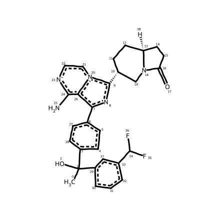 CC(O)(c1ccc(-c2nc([C@@H]3CC[C@H]4CCC(=O)N4C3)n3ccnc(N)c23)cc1)c1cccc(C(F)F)c1